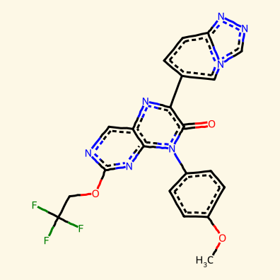 COc1ccc(-n2c(=O)c(-c3ccc4nncn4c3)nc3cnc(OCC(F)(F)F)nc32)cc1